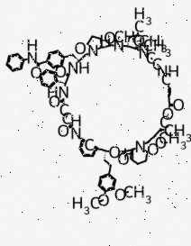 COc1ccc(CC[C@H]2OC(=O)[C@@H]3CCCCN3C(=O)C(=O)C(C)(C)COC(=O)/C=C/CNCCN(C)C(=O)[C@H](CC(C)C)N(C)C(=O)[C@H]3CCCN3C(=O)[C@H](Cc3ccc(C(=O)Nc4ccccc4)cc3)NC(=O)[C@H](c3ccccc3)NC(=O)CCC(=O)Nc3cccc2c3)cc1OC